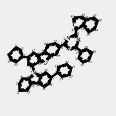 c1ccc(-c2cc(-n3c4ccccc4c4ccc(-c5ccccc5)cc43)c3oc4cc(-c5nc(-c6ccccc6)nc(-c6cccc7ccccc67)n5)ccc4c3c2)cc1